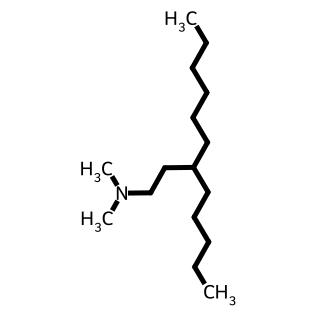 CCCCCCC(CCCCC)CCN(C)C